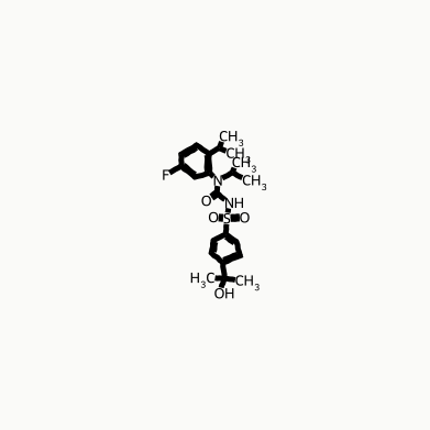 CC(C)c1ccc(F)cc1N(C(=O)NS(=O)(=O)c1ccc(C(C)(C)O)cc1)C(C)C